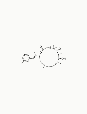 CC1=CCC(C(C)=Cc2cccc(C)n2)OC(=O)CSC(C)(C)C(=O)[C@H](C)[C@@H](O)C(C)=CCC1